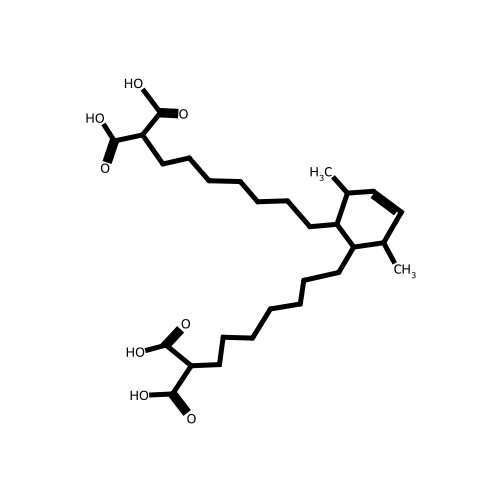 CC1C=CC(C)C(CCCCCCCC(C(=O)O)C(=O)O)C1CCCCCCCC(C(=O)O)C(=O)O